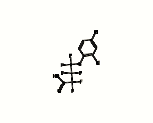 O=S(O)C(F)(F)C(F)(F)C(F)(F)Sc1ccc(Cl)cc1Cl